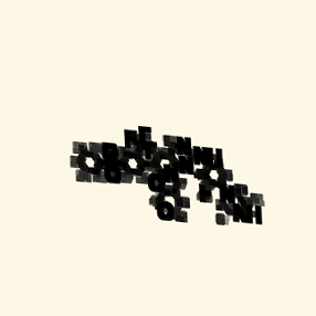 C[C@@H]1CN(c2ccc(Nc3ncc4cc(-c5ccc(S(=O)(=O)c6ccccc6)cc5C(F)(F)F)c(=O)n(CC5CCOCC5)c4n3)cc2F)C[C@H](C)N1